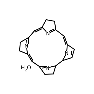 C1=C2/CCC(=N2)/C=C2/CCC(N2)C2CCC(=N2)/C=C2/CCC/1=N2.O